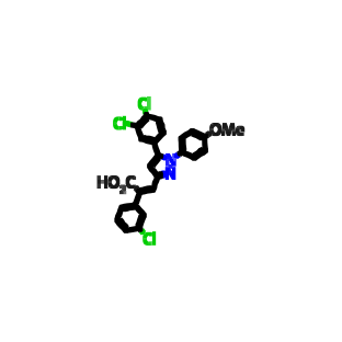 COc1ccc(-n2nc(/C=C(\C(=O)O)c3cccc(Cl)c3)cc2-c2ccc(Cl)c(Cl)c2)cc1